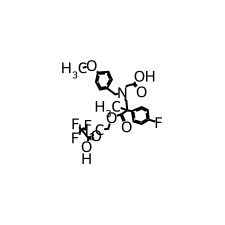 CCOC(=O)C(C)(CN(CC(=O)O)Cc1ccc(OC)cc1)c1ccc(F)cc1.O=C(O)C(F)(F)F